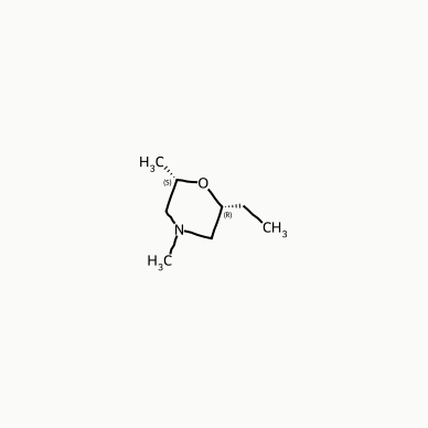 CC[C@@H]1CN(C)C[C@H](C)O1